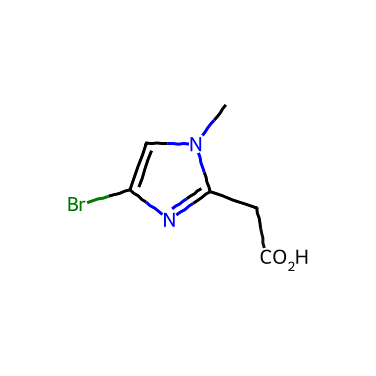 Cn1cc(Br)nc1CC(=O)O